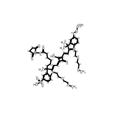 COCCOCCN1C(=CC=C2C(=O)C(C=CC3=[N+](CCOCCOC)c4ccc(SOOO)cc4C3(C)C)=C2O)C(C)(CCCCCC(=O)ON2C(=O)CCC2=O)c2cc(S(=O)(=O)O)ccc21